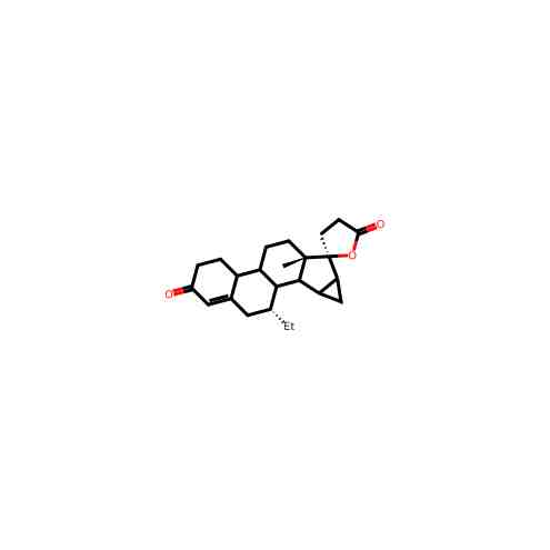 CC[C@@H]1CC2=CC(=O)CCC2C2CC[C@@]3(C)C(C4CC4[C@@]34CCC(=O)O4)C21